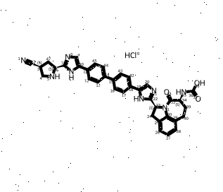 Cl.N#C[C@@H]1CN[C@H](c2ncc(-c3ccc(-c4ccc(-c5cnc([C@@H]6Cc7cccc8c7N6C(=O)[C@@H](NC(=O)O)CC8)[nH]5)cc4)cc3)[nH]2)C1